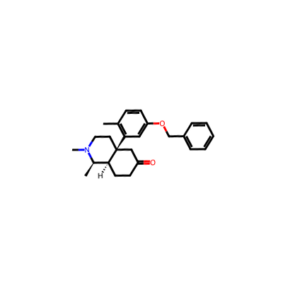 Cc1ccc(OCc2ccccc2)cc1[C@]12CCN(C)[C@H](C)[C@@H]1CCC(=O)C2